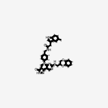 Cc1ccc2[nH]cc(CC(=O)NCc3ccc(-n4cc5c(=O)[nH]nc-5c5cnc(NCC6COc7ccccc7O6)nc54)cc3)c2c1